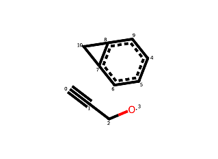 C#CC[O].c1ccc2c(c1)C2